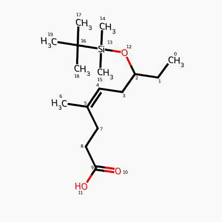 CCC(CC=C(C)CCC(=O)O)O[Si](C)(C)C(C)(C)C